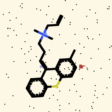 C=CC[N+](C)(C)CC/C=C1/c2ccccc2Sc2ccc(C)cc21.[Br-]